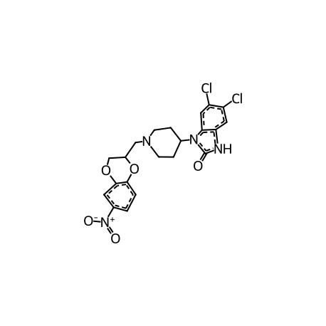 O=c1[nH]c2cc(Cl)c(Cl)cc2n1C1CCN(CC2COc3cc([N+](=O)[O-])ccc3O2)CC1